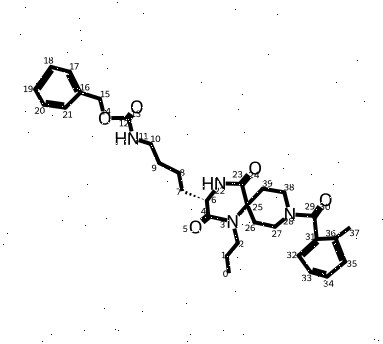 CCCN1C(=O)[C@H](CCCCNC(=O)OCc2ccccc2)NC(=O)C12CCN(C(=O)c1ccccc1C)CC2